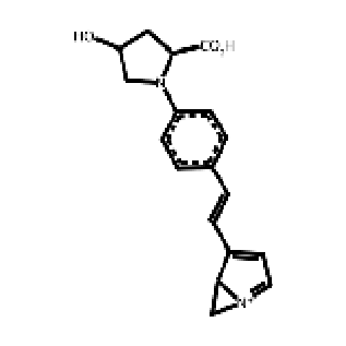 O=C(O)C1CC(O)CN1c1ccc(/C=C/C2=CC=[N+]3CC23)cc1